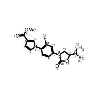 COC(=O)c1ccn(-c2ccc(N3CC(N(C)C(C)=O)OC3=O)cc2F)c1